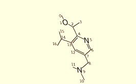 COC(C)c1ncc(CN(C)C)cc1C(C)C